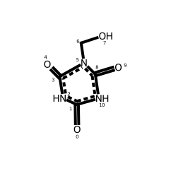 O=c1[nH]c(=O)n(CO)c(=O)[nH]1